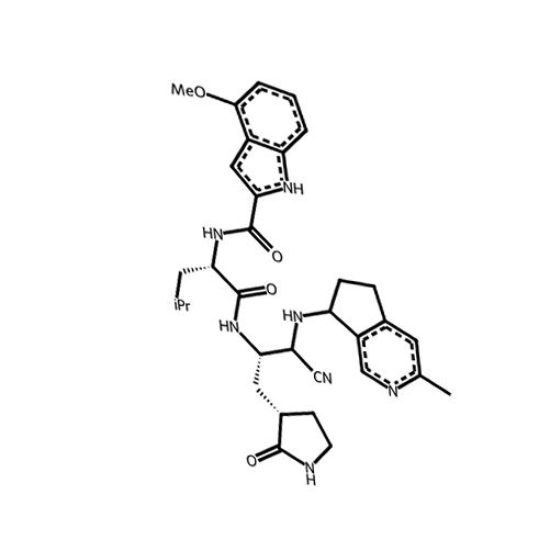 COc1cccc2[nH]c(C(=O)N[C@@H](CC(C)C)C(=O)N[C@@H](C[C@@H]3CCNC3=O)C(C#N)NC3CCc4cc(C)ncc43)cc12